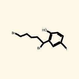 Oc1ccc(I)cc1C(Br)CCCCBr